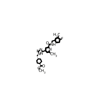 COC(=O)[C@H]1CC[C@H](Cn2nnc(-c3cc(C)nc(C(=O)NCc4ccc(F)c(C)c4)c3)n2)CC1